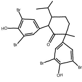 CC(C)C1CCC(C)(c2cc(Br)c(O)c(Br)c2)C(=O)C1c1cc(Br)c(O)c(Br)c1